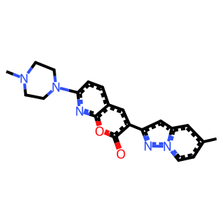 Cc1ccn2nc(-c3cc4ccc(N5CCN(C)CC5)nc4oc3=O)cc2c1